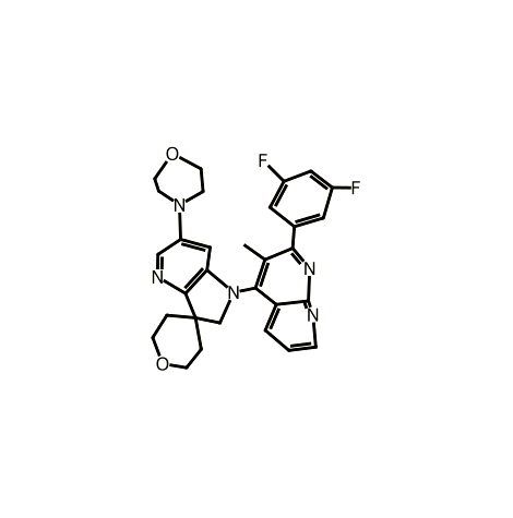 Cc1c(-c2cc(F)cc(F)c2)nc2ncccc2c1N1CC2(CCOCC2)c2ncc(N3CCOCC3)cc21